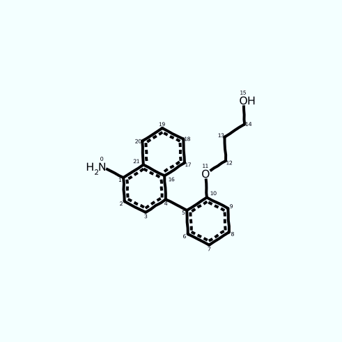 Nc1ccc(-c2ccccc2OCCCO)c2ccccc12